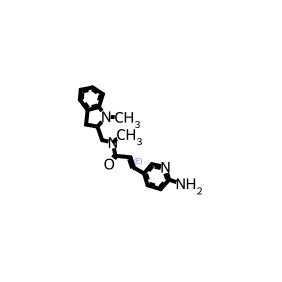 CN(CC1Cc2ccccc2N1C)C(=O)/C=C/c1ccc(N)nc1